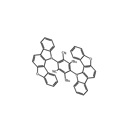 CC(C)(C)c1c(C#N)c(-n2c3ccccc3c3ccc4oc5ccccc5c4c32)c(C#N)c(C(C)(C)C)c1-n1c2ccccc2c2ccc3oc4ccccc4c3c21